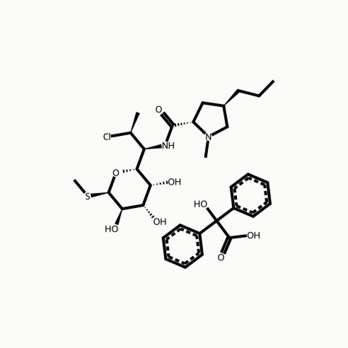 CCC[C@@H]1C[C@@H](C(=O)N[C@@H]([C@H]2O[C@H](SC)[C@H](O)[C@@H](O)[C@H]2O)[C@H](C)Cl)N(C)C1.O=C(O)C(O)(c1ccccc1)c1ccccc1